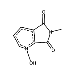 CN1C(=O)c2ccc[n+](O)c2C1=O